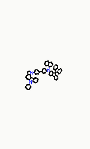 c1ccc(-n2c3ccccc3c3c4c(ccc32)ccn4-c2ccc(-c3ccc(N(c4ccc5c(c4)C(c4ccccc4)(c4ccccc4)c4ccccc4-5)c4cccc5ccccc45)cc3)cc2)cc1